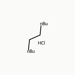 Cl.[CH2]CCCCCCCCC